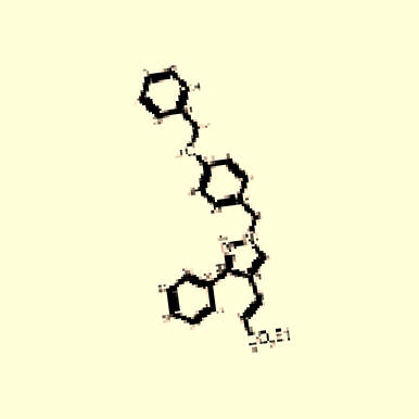 CCOC(=O)/C=C/c1cn(Cc2ccc(OCc3ccccc3)cc2)nc1-c1ccccc1